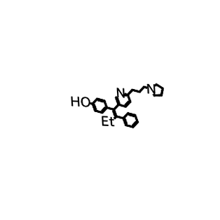 CC/C(=C(\c1ccc(O)cc1)c1ccc(CCCN2CCCC2)nc1)c1ccccc1